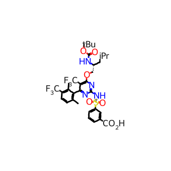 Cc1ccc(C(F)(F)F)c(C)c1-c1nc(NS(=O)(=O)c2cccc(C(=O)O)c2)nc(OC[C@@H](CC(C)C)NC(=O)OC(C)(C)C)c1C(F)(F)F